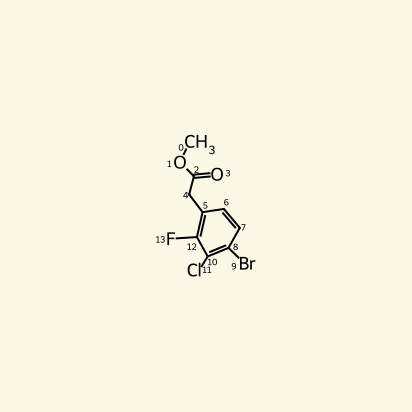 COC(=O)Cc1ccc(Br)c(Cl)c1F